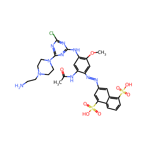 COc1cc(/N=N/c2cc(S(=O)(=O)O)c3cccc(S(=O)(=O)O)c3c2)c(NC(C)=O)cc1Nc1nc(Cl)nc(N2CCN(CCN)CC2)n1